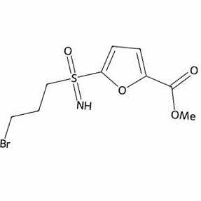 COC(=O)c1ccc(S(=N)(=O)CCCBr)o1